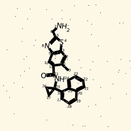 Cc1cc2sc(CN)nc2cc1C(=O)NC1(c2cccc3ccccc23)CC1